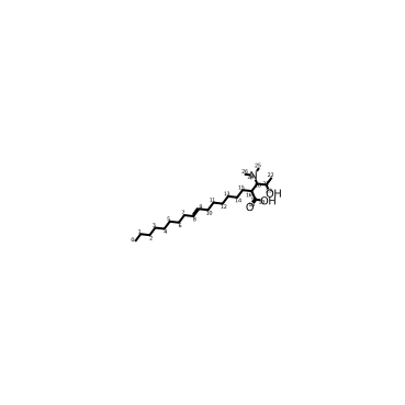 CCCCCCCCC=CCCCCCCC(C(=O)O)C(C(C)O)N(C)C